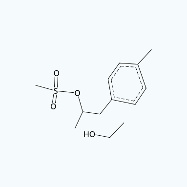 CCO.Cc1ccc(CC(C)OS(C)(=O)=O)cc1